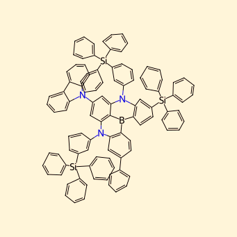 c1ccc(-c2ccc3c(c2)N(c2cccc([Si](c4ccccc4)(c4ccccc4)c4ccccc4)c2)c2cc(-n4c5ccccc5c5ccccc54)cc4c2B3c2ccc([Si](c3ccccc3)(c3ccccc3)c3ccccc3)cc2N4c2cccc([Si](c3ccccc3)(c3ccccc3)c3ccccc3)c2)cc1